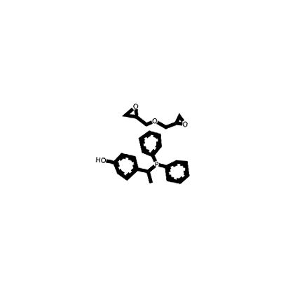 C(OCC1CO1)C1CO1.CC(c1ccc(O)cc1)P(c1ccccc1)c1ccccc1